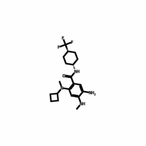 CNc1cc(N(C)C2CCC2)c(C(=O)N[C@H]2CC[C@H](C(F)(F)F)CC2)cc1N